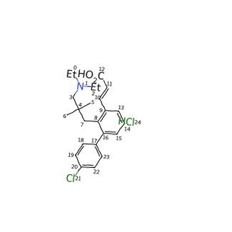 CCN(CC)CC(C)(C)Cc1c(/C=C/C(=O)O)cccc1-c1ccc(Cl)cc1.Cl